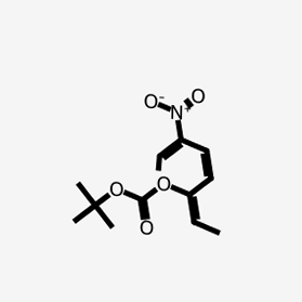 C\C=C(/C=C\C(=C/C)[N+](=O)[O-])OC(=O)OC(C)(C)C